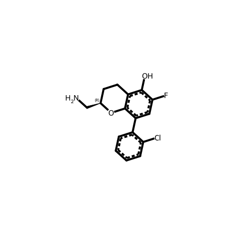 NC[C@H]1CCc2c(O)c(F)cc(-c3ccccc3Cl)c2O1